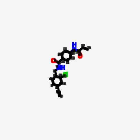 C#Cc1ccc(CNC(=O)c2ccc(NC(=O)C=C)cc2)c(Cl)c1